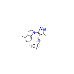 Cc1nn(C)c(-n2ccc3c(C)cccc32)c1/C=C/C(=O)O